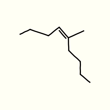 CCCC=C(C)CCCC